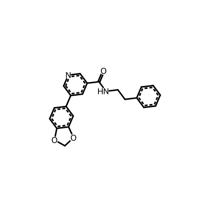 O=C(NCCc1ccccc1)c1cncc(-c2ccc3c(c2)OCO3)c1